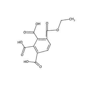 CCOC(=O)c1ccc(C(=O)O)c(C(=O)O)c1C(=O)O